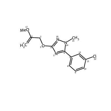 C=C(COc1nc(-c2cccc(Cl)c2)n(C)n1)OC